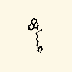 c1cc2c3c(cccc3c1)C(NCCCCCn1ccnn1)=N2